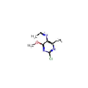 C/C=N\c1c(C)nc(Cl)nc1OC